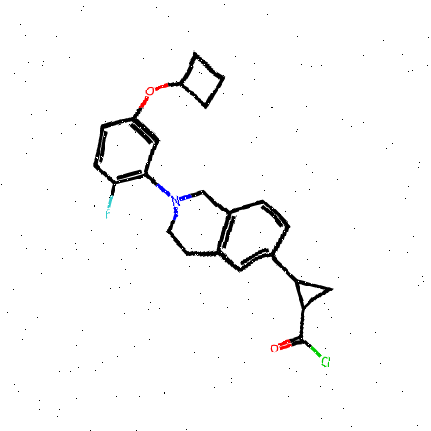 O=C(Cl)C1CC1c1ccc2c(c1)CCN(c1cc(OC3CCC3)ccc1F)C2